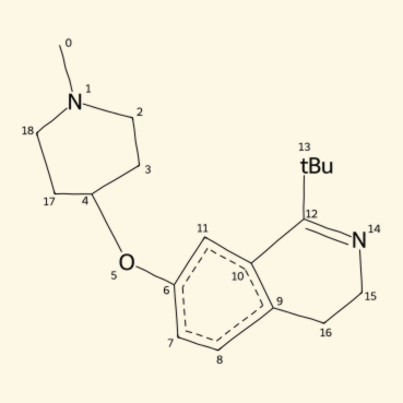 CN1CCC(Oc2ccc3c(c2)C(C(C)(C)C)=NCC3)CC1